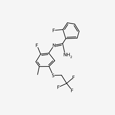 Cc1cc(F)c(N=C(N)c2ccccc2F)cc1SCC(F)(F)F